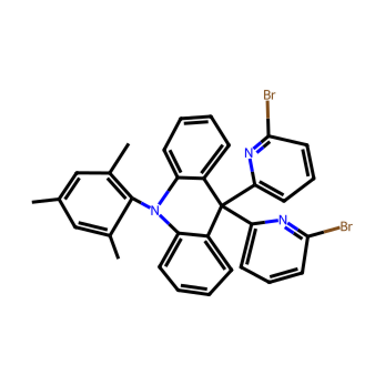 Cc1cc(C)c(N2c3ccccc3C(c3cccc(Br)n3)(c3cccc(Br)n3)c3ccccc32)c(C)c1